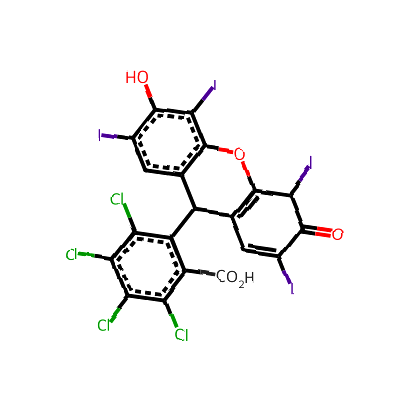 O=C(O)c1c(Cl)c(Cl)c(Cl)c(Cl)c1C1C2=C(Oc3c1cc(I)c(O)c3I)C(I)C(=O)C(I)=C2